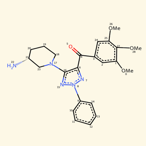 COc1cc(C(=O)c2nn(-c3ccccc3)nc2N2CCC[C@@H](N)C2)cc(OC)c1OC